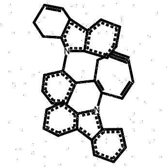 C1#CCC(c2ccccc2-n2c3c(c4ccccc42)C=CCC3)=C(n2c3ccccc3c3ccccc32)C=C1